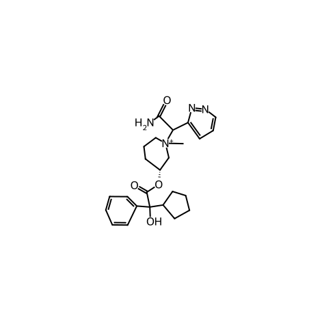 C[N+]1(C(C(N)=O)c2cccnn2)CCC[C@@H](OC(=O)C(O)(c2ccccc2)C2CCCC2)C1